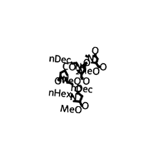 CCCCCCCCCCCCN1CC(C(=O)O)CC1=O.CCCCCCCCCCCCN1CC(C(=O)OC)CC1=O.CCCCCCN1CC(C(=O)OC)CC1=O.COC(=O)C1CC(=O)N(C)C1